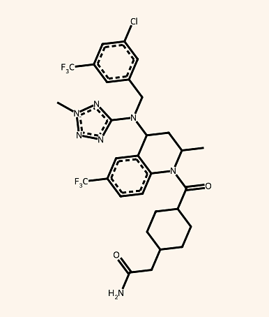 CC1CC(N(Cc2cc(Cl)cc(C(F)(F)F)c2)c2nnn(C)n2)c2cc(C(F)(F)F)ccc2N1C(=O)C1CCC(CC(N)=O)CC1